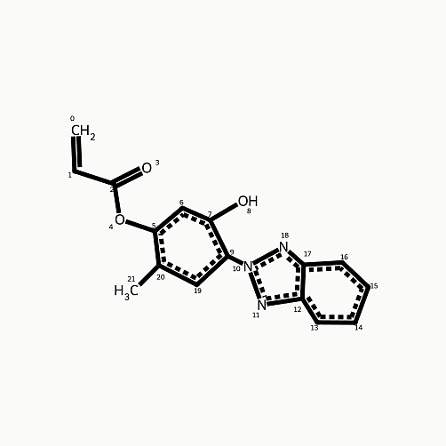 C=CC(=O)Oc1cc(O)c(-n2nc3ccccc3n2)cc1C